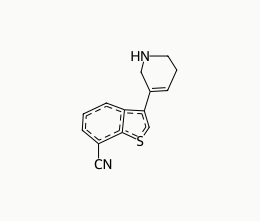 N#Cc1cccc2c(C3=CCCNC3)csc12